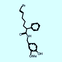 COc1cc(CNC(=O)C(CCC/C=C/C(C)C)c2ccccc2)ccc1O